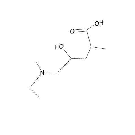 CCN(C)CC(O)CC(C)C(=O)O